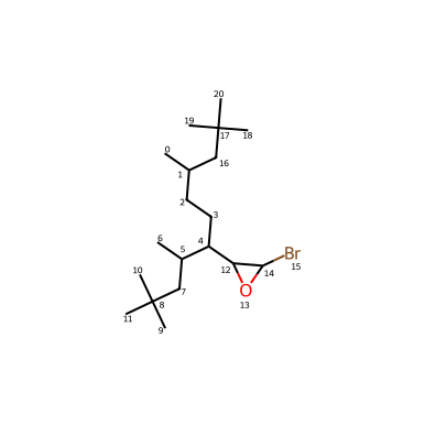 CC(CCC(C(C)CC(C)(C)C)C1OC1Br)CC(C)(C)C